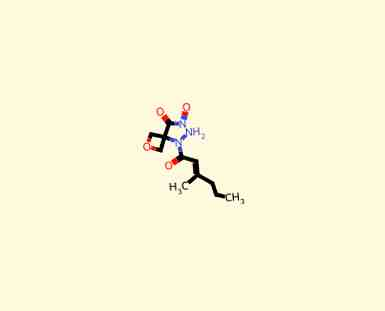 CCC/C(C)=C/C(=O)N(N)C1(C(=O)N=O)COC1